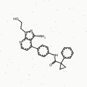 Nc1nn(CCO)c2nccc(-c3ccc(NC(=O)C4(c5ccccc5)CC4)cc3)c12